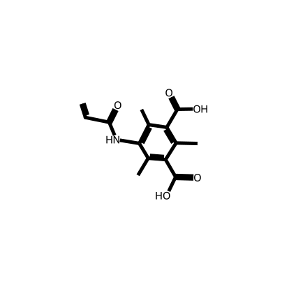 C=CC(=O)Nc1c(C)c(C(=O)O)c(C)c(C(=O)O)c1C